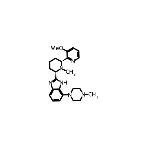 COc1cccnc1[C@@H]1CCC[C@H](c2nc3cccc(N4CCN(C)CC4)c3[nH]2)N1C